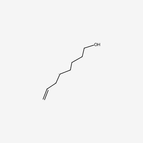 C=CC[CH]CCCCO